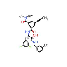 CC#Cc1cc(C(=O)N[C@@H](Cc2cc(F)cc(F)c2)[C@H](O)CNCc2cccc(CC)c2)cc(C(=O)N(CCC)CCC)c1